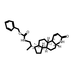 CC(CNC(=O)OCc1ccccc1)[C@H]1CC[C@H]2[C@@H]3CC[C@H]4NC(=O)C=C[C@]4(C)[C@H]3CC[C@]12C